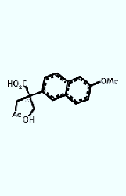 COc1ccc2cc([C@](CO)(CC(C)=O)C(=O)O)ccc2c1